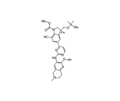 CC(C)Oc1nc2c(cc1Nc1nccc(-c3cc(C#N)c4c(c3)[C@@](C)(CO[Si](C)(C)C(C)(C)C)CN4C(=O)OC(C)(C)C)n1)CN(C)CC2